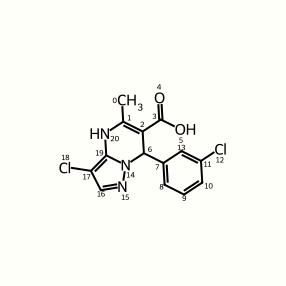 CC1=C(C(=O)O)C(c2cccc(Cl)c2)n2ncc(Cl)c2N1